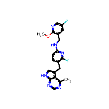 COc1ncc(F)cc1CNc1ccc(Cc2c[nH]c3ncnc(C)c23)c(F)n1